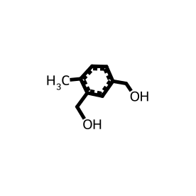 Cc1ccc(CO)cc1CO